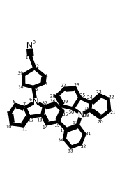 N#CC1C=CC(n2c3ccccc3c3cc(C4=C(N5C6=CCCC=C6C6C=CC=CC65)CCCC4)ccc32)CC1